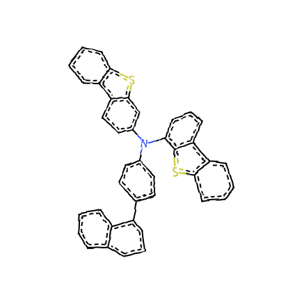 c1ccc2c(-c3ccc(N(c4ccc5c(c4)sc4ccccc45)c4cccc5c4sc4ccccc45)cc3)cccc2c1